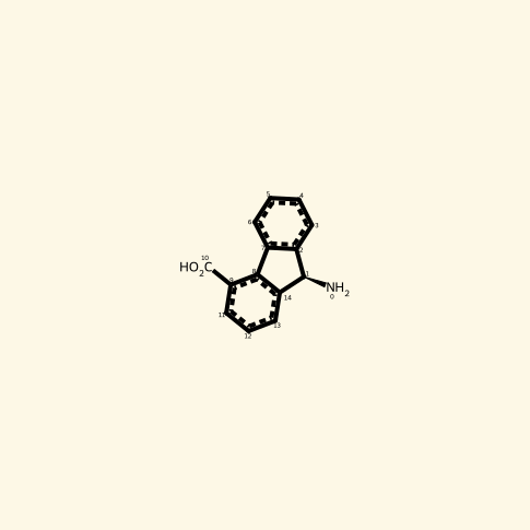 N[C@@H]1c2ccccc2-c2c(C(=O)O)cccc21